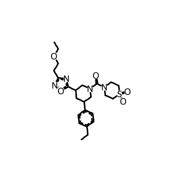 CCOCCc1noc(C2CC(c3ccc(CC)cc3)CN(C(=O)N3CCS(=O)(=O)CC3)C2)n1